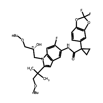 CCCCOC[C@H](O)Cn1c(C(C)(C)COCCCC)cc2cc(NC(=O)C3(c4ccc5c(c4)OC(F)(F)O5)CC3)c(F)cc21